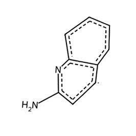 Nc1c[c]c2ccccc2n1